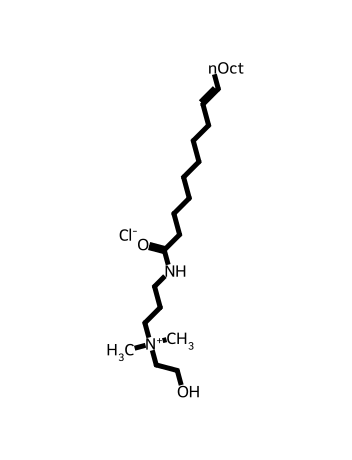 CCCCCCCCC=CCCCCCCCC(=O)NCCC[N+](C)(C)CCO.[Cl-]